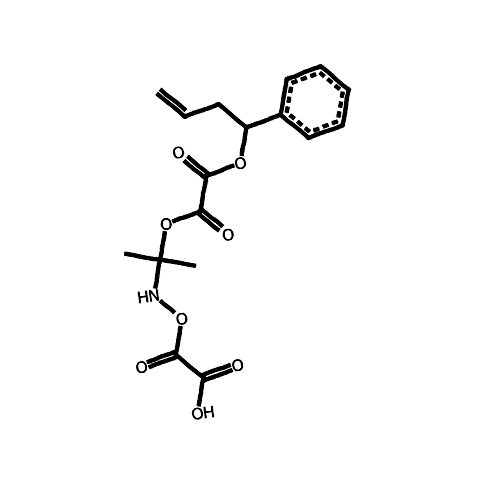 C=CCC(OC(=O)C(=O)OC(C)(C)NOC(=O)C(=O)O)c1ccccc1